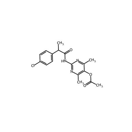 CC(=O)Oc1c(C)nc(NC(=O)C(C)c2ccc(Cl)cc2)nc1C